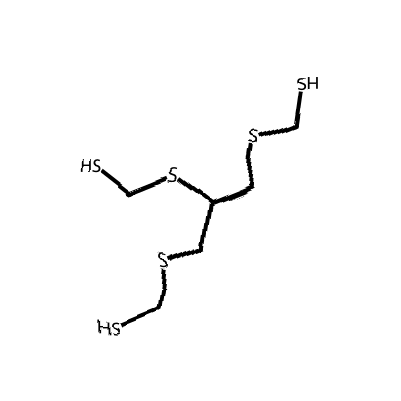 SCSCC(CSCS)SCS